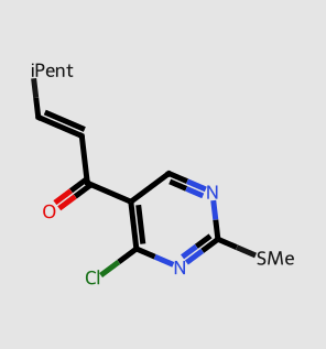 CCCC(C)/C=C/C(=O)c1cnc(SC)nc1Cl